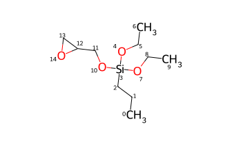 CCC[Si](OCC)(OCC)OCC1CO1